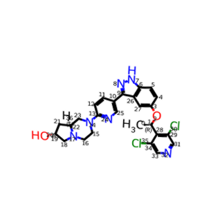 C[C@@H](Oc1ccc2[nH]nc(-c3ccc(N4CCN5C[C@H](O)C[C@H]5C4)nc3)c2c1)c1c(Cl)cncc1Cl